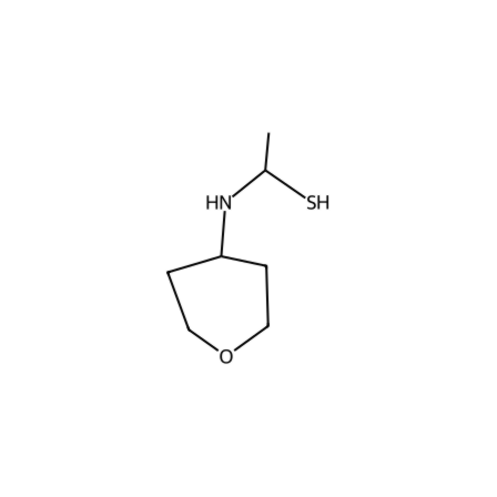 CC(S)NC1CCOCC1